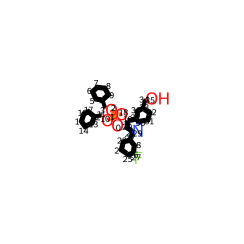 O=P(OCc1ccccc1)(OCc1ccccc1)Oc1cc(-c2cccc(F)c2)nc2ccc(CO)cc12